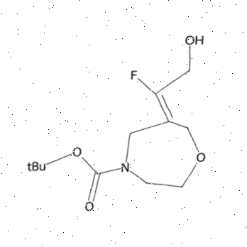 CC(C)(C)OC(=O)N1CCOC/C(=C(/F)CO)C1